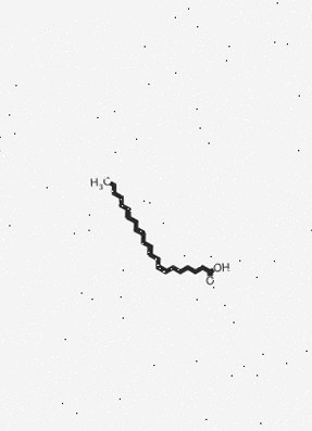 CCCCC/C=C/C/C=C/C/C=C/C/C=C\CCCCCC(=O)O